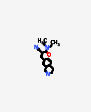 CCN(CC)C(=O)C(C#N)=Cc1ccc2c(c1)C=NCC2